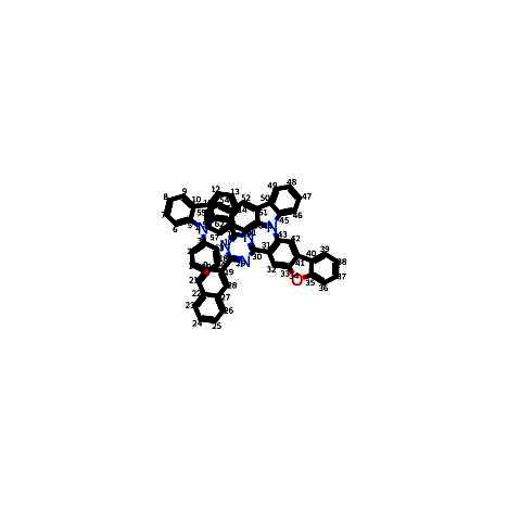 c1ccc(-n2c3ccccc3c3cccc(-c4nc(-c5ccc6ccccc6c5)nc(-c5cc6oc7ccccc7c6cc5-n5c6ccccc6c6cc7ccccc7cc65)n4)c32)cc1